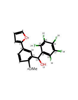 COc1ccc(-c2ccco2)cc1C(O)c1c(F)c(F)c(F)c(F)c1F